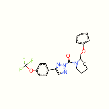 O=C(N1CCCCC1COc1ccccc1)n1ncc(-c2ccc(OC(F)(F)F)cc2)n1